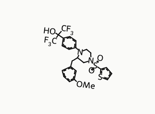 COc1cccc(CC2CN(S(=O)(=O)c3cccs3)CCN2c2ccc(C(O)(C(F)(F)F)C(F)(F)F)cc2)c1